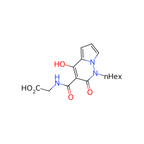 CCCCCCn1c(=O)c(C(=O)NCC(=O)O)c(O)c2cccn21